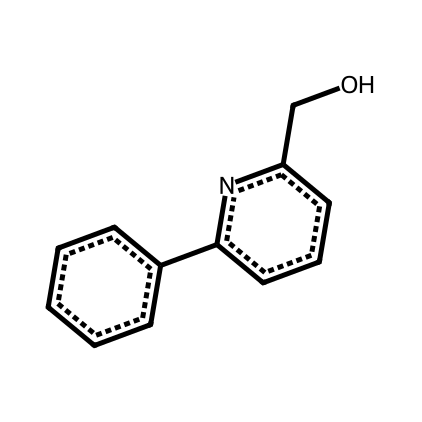 OCc1cccc(-c2ccccc2)n1